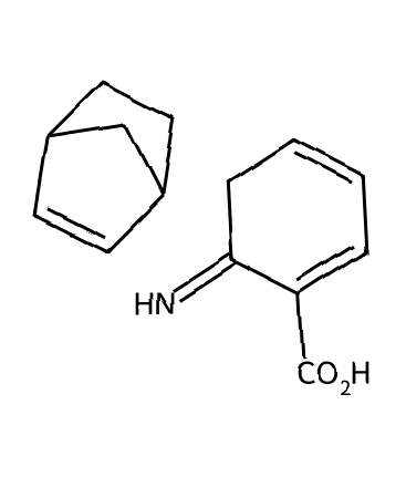 C1=CC2CCC1C2.N=C1CC=CC=C1C(=O)O